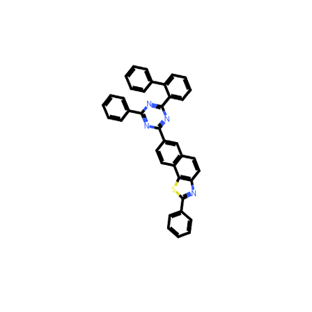 c1ccc(-c2nc(-c3ccc4c(ccc5nc(-c6ccccc6)sc54)c3)nc(-c3ccccc3-c3ccccc3)n2)cc1